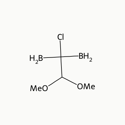 BC(B)(Cl)C(OC)OC